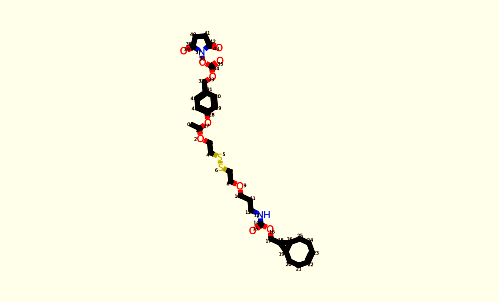 CC(OCCSSCCOCCCNC(=O)OCC1C2CC/C=C\CCC21)Oc1ccc(COC(=O)ON2C(=O)CCC2=O)cc1